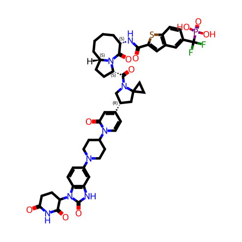 O=C1CCC(n2c(=O)[nH]c3cc(N4CCC(n5ccc([C@@H]6CN(C(=O)[C@@H]7CC[C@@H]8CCCC[C@H](NC(=O)c9cc%10cc(C(F)(F)P(=O)(O)O)ccc%10s9)C(=O)N87)C7(CC7)C6)cc5=O)CC4)ccc32)C(=O)N1